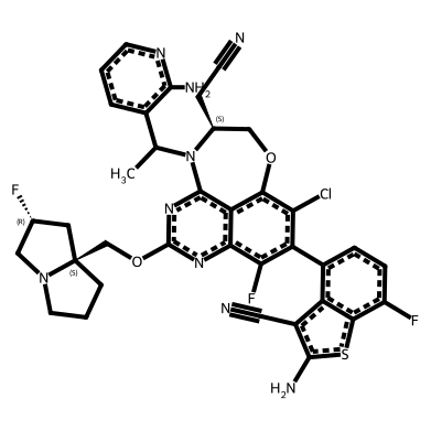 CC(c1cccnc1N)N1c2nc(OC[C@@]34CCCN3C[C@H](F)C4)nc3c(F)c(-c4ccc(F)c5sc(N)c(C#N)c45)c(Cl)c(c23)OC[C@@H]1CC#N